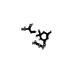 C=CC(=O)O.CC1=CC(=O)CC(C)(C)C1.N=C=O